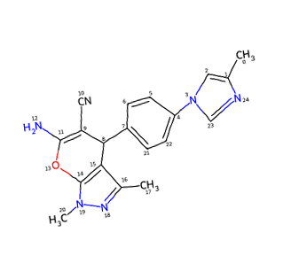 Cc1cn(-c2ccc(C3C(C#N)=C(N)Oc4c3c(C)nn4C)cc2)cn1